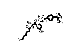 Cc1ncsc1-c1ccc([C@H](C)NC(=O)[C@@H]2C[C@@H](O)CN2C(=O)[C@@H](NC(=O)CCCCCBr)C(C)(C)C)cc1